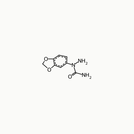 NC(=O)N(N)c1ccc2c(c1)OCO2